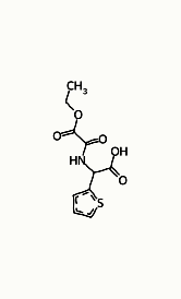 CCOC(=O)C(=O)NC(C(=O)O)c1cccs1